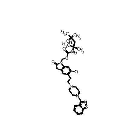 CC(C)(C)CC(C)(C)NC(=O)OCN1C(=O)Cc2cc(CCN3CCN(c4nsc5ccccc45)CC3)c(Cl)cc21